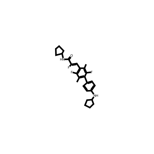 Cc1c(F)c(-c2ccc(NC3CCCC3)cc2)c(C)c(F)c1/C=C(\F)C(=O)NC1CCCC1